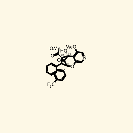 COC(=O)[C@@H]1C(c2ccccc2)[C@]2(c3ccc(C(F)(F)F)cc3)Oc3cncc(OC)c3[C@@]1(O)C2=O